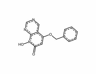 O=c1cc(OCc2ccccc2)c2cncnc2n1O